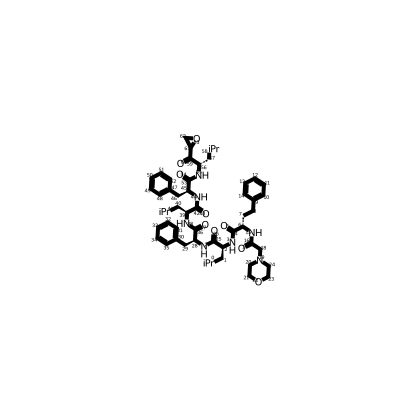 CC(C)C[C@H](NC(=O)[C@H](CCc1ccccc1)NC(=O)CN1CCOCC1)C(=O)N[C@@H](Cc1ccccc1)C(=O)N[C@@H](CC(C)C)C(=O)N[C@@H](Cc1ccccc1)C(=O)N[C@@H](CC(C)C)C(=O)C1CO1